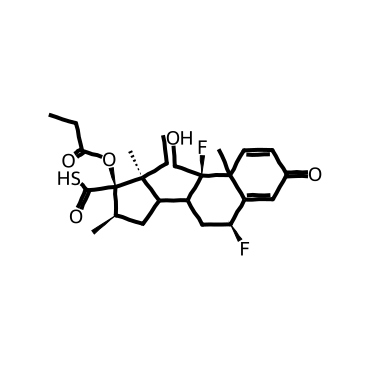 CCC(=O)O[C@]1(C(=O)S)[C@H](C)CC(C2C[C@H](F)C3=CC(=O)C=CC3(C)[C@@]2(F)CO)[C@]1(C)CC